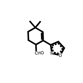 CC1(C)C=C(c2ccon2)C(C=O)CC1